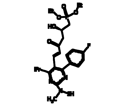 CCOP(=O)(C[C@H](O)CC(=O)/C=C/c1c(-c2ccc(F)cc2)nc(N(C)S)nc1C(C)C)OCC